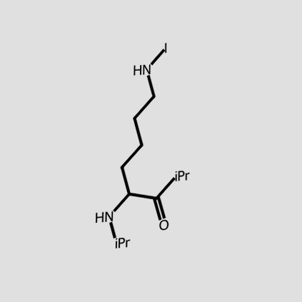 CC(C)NC(CCCCNI)C(=O)C(C)C